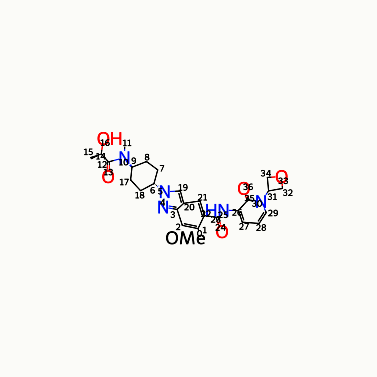 COc1cc2nn([C@H]3CC[C@H](N(C)C(=O)[C@@H](C)O)CC3)cc2cc1C(=O)Nc1cccn(C2COC2)c1=O